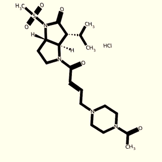 CC(=O)N1CCN(C/C=C/C(=O)N2CC[C@H]3[C@H]2[C@@H](C(C)C)C(=O)N3S(C)(=O)=O)CC1.Cl